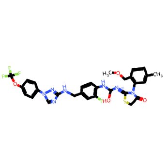 COCc1ccc(C)cc1N1C(=O)CS/C1=N\C(O)Nc1ccc(CNc2ncn(-c3ccc(OC(F)(F)F)cc3)n2)cc1F